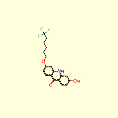 O=c1c2ccc(O)cc2[nH]c2cc(OCCCCCC(F)(F)F)ccc12